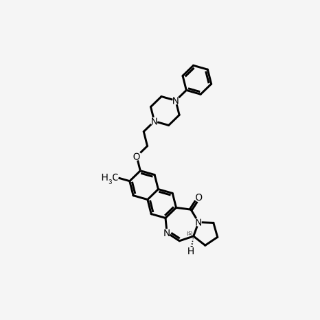 Cc1cc2cc3c(cc2cc1OCCN1CCN(c2ccccc2)CC1)C(=O)N1CCC[C@H]1C=N3